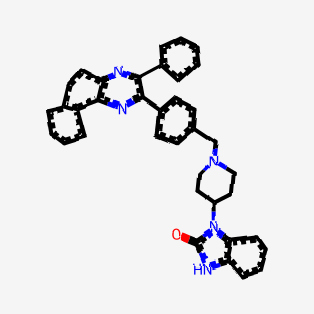 O=c1[nH]c2ccccc2n1C1CCN(Cc2ccc(-c3nc4c(ccc5ccccc54)nc3-c3ccccc3)cc2)CC1